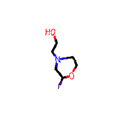 OCCN1CCOC(I)C1